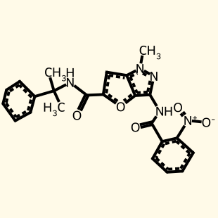 Cn1nc(NC(=O)c2ccccc2[N+](=O)[O-])c2oc(C(=O)NC(C)(C)c3ccccc3)cc21